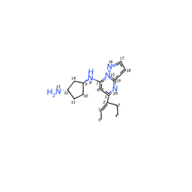 C/C=C(\CC)c1cc(N[C@H]2CC[C@H](N)C2)n2nccc2n1